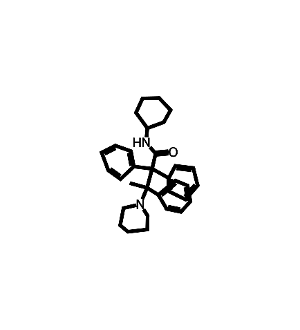 CC(c1ccccc1)(N1CCCCC1)C(C(=O)NC1CCCCC1)(c1ccccc1)c1ccccc1